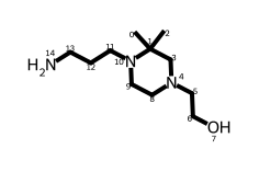 CC1(C)CN(CCO)CCN1CCCN